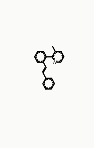 Cc1cccnc1-c1ccccc1C=Cc1ccccc1